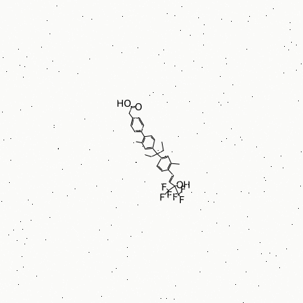 CCC(CC)(c1ccc(C=CC(O)(C(F)(F)F)C(F)(F)F)c(C)c1)c1ccc(-c2ccc(CC(=O)O)cc2)c(C)c1